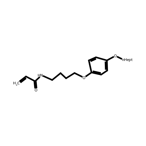 C=CC(=O)NCCCCOc1ccc(OCCCCCCC)cc1